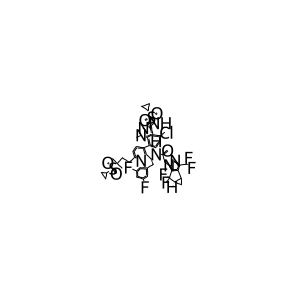 Cn1nc(NS(=O)(=O)C2CC2)c2c(Cl)ccc(-c3ccc(CCC(C)(C)S(=O)(=O)C4CC4)nc3[C@H](Cc3cc(F)cc(F)c3)NC(=O)Cn3nc(C(F)F)c4c3C(F)(F)[C@@H]3CC43)c21